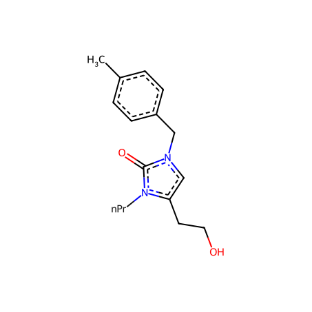 CCCn1c(CCO)cn(Cc2ccc(C)cc2)c1=O